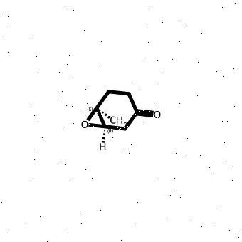 C[C@]12CCC(=O)C[C@H]1O2